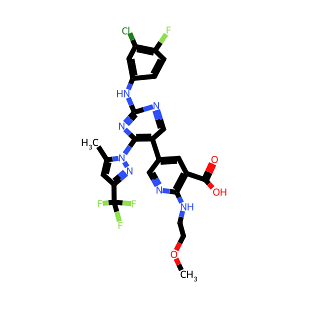 COCCNc1ncc(-c2cnc(Nc3ccc(F)c(Cl)c3)nc2-n2nc(C(F)(F)F)cc2C)cc1C(=O)O